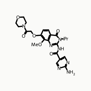 COc1c(OCC(=O)N2CCOCC2)ccc2c(=O)n(C(C)C)c(NC(=O)c3cnc(N)nc3)nc12